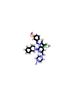 COc1cccc(Cn2c(C)c(C)c3cc(CN4CCN(C)CC4)nc(N4CCc5ccccc5C4)c32)c1.Cl